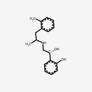 Cc1ccccc1CC(C)NC[C@H](O)c1ccccc1O